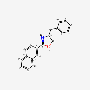 c1ccc(CC2COC(c3ccc4ccccc4c3)=N2)cc1